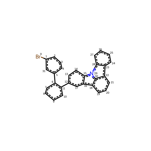 Brc1cccc(-c2ccccc2-c2ccc3c(c2)c2cccc4c5ccccc5n3c42)c1